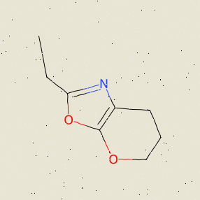 CCc1nc2c(o1)OCCC2